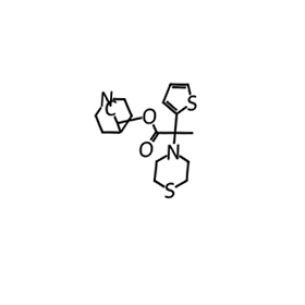 CC(C(=O)OC1CN2CCC1CC2)(c1cccs1)N1CCSCC1